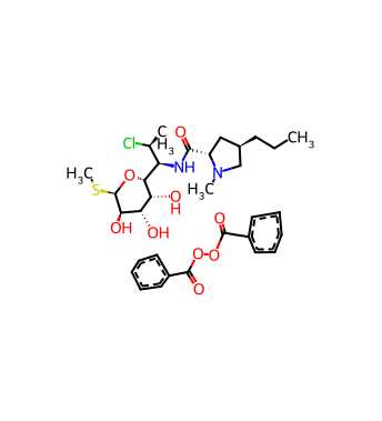 CCC[C@@H]1C[C@@H](C(=O)N[C@@H]([C@H]2O[C@H](SC)[C@H](O)[C@@H](O)[C@H]2O)[C@H](C)Cl)N(C)C1.O=C(OOC(=O)c1ccccc1)c1ccccc1